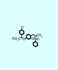 CN(Cc1ccc(OC(C(=O)O)c2ccc(Cl)cc2)cc1)S(=O)(=O)c1ccccc1